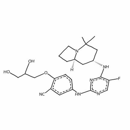 CC1(C)C[C@H](Nc2nc(Nc3ccc(OCC(O)CO)c(C#N)c3)ncc2F)C[C@H]2CCCN21